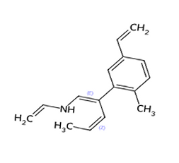 C=CN/C=C(\C=C/C)c1cc(C=C)ccc1C